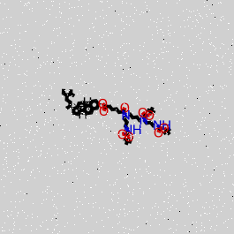 CCC(CCC(C)[C@H]1CC[C@H]2[C@@H]3CC=C4C[C@@H](OC(=O)CCCCC(=O)N(CCCCN(CCCNC(=O)OC(C)(C)C)C(=O)OC(C)(C)C)CCCNC(=O)OC(C)(C)C)CC[C@]4(C)[C@H]3CC[C@]12C)C(C)C